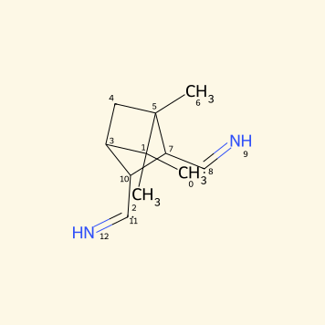 CC1(C)C2CC1(C)C([C]=N)C2[C]=N